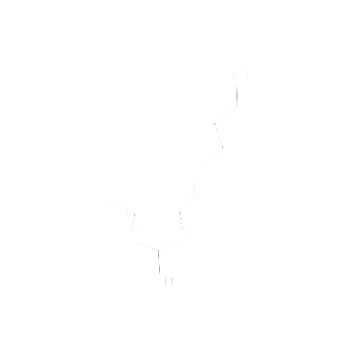 [CH2]C(OC=O)OCCOCCCC